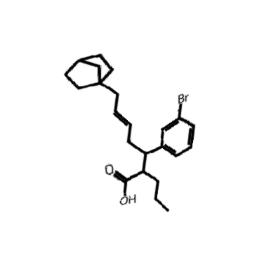 CCCC(C(=O)O)C(CC=CCC12CCC(CC1)C2)c1cccc(Br)c1